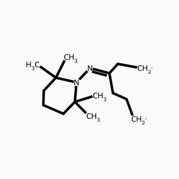 [CH2]CCC(C[CH2])=NN1C(C)(C)CCCC1(C)C